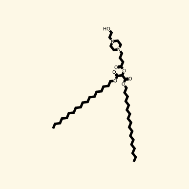 CCCCCCCCCCCCCCCCCCOC(=O)C(OC(=O)CCCN1CCN(CCO)CC1)C(=O)OCCCCCCCCCCCCCCCCCC